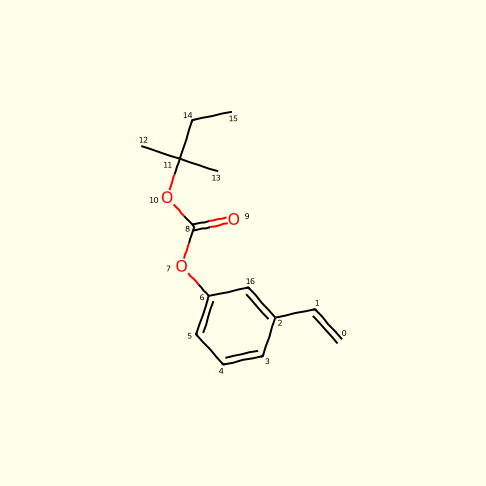 C=Cc1cccc(OC(=O)OC(C)(C)CC)c1